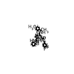 Cc1ccc([C@H](C)NC(=O)c2cc(C(=O)NCc3ccc(F)c(F)c3)nc3c(C(=O)Nc4ccccc4Cl)cnn23)cc1